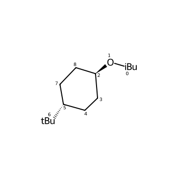 CCC(C)O[C@H]1CC[C@H](C(C)(C)C)CC1